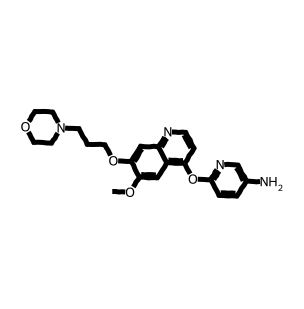 COc1cc2c(Oc3ccc(N)cn3)ccnc2cc1OCCCN1CCOCC1